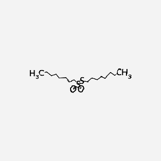 CCCCCCCCSS(=O)(=O)CCCCCCCC